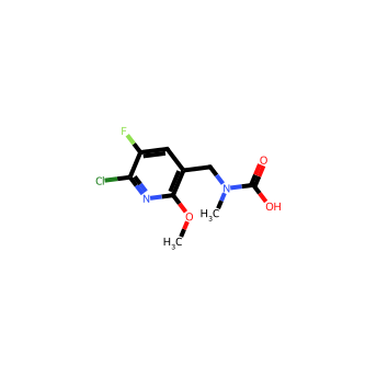 COc1nc(Cl)c(F)cc1CN(C)C(=O)O